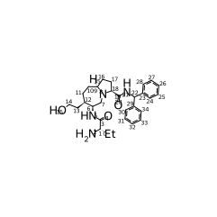 CC[C@H](N)C(=O)N[C@@H]1CN2[C@@H](CC[C@@H]1CCO)CC[C@H]2C(=O)NC(c1ccccc1)c1ccccc1